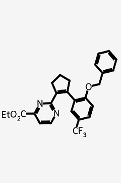 CCOC(=O)c1ccnc(C2=C(c3cc(C(F)(F)F)ccc3OCc3ccccc3)CCC2)n1